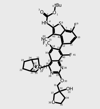 CC(C)(C)OC(=O)Nc1sc2c(F)ccc(-c3c(C(F)(F)F)cc4c(N5CC6CCC(C5)N6C(=O)O)nc(OCC5(O)CCOC5)nc4c3F)c2c1C#N